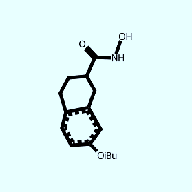 CC(C)COc1ccc2c(c1)CC(C(=O)NO)CC2